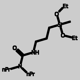 CCCN(CCC)C(=O)NCCC[Si](C)(OCC)OCC